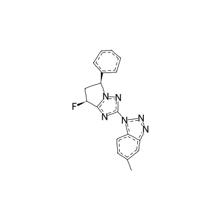 Cc1ccc2c(c1)nnn2-c1nc2n(n1)[C@H](c1ccccc1)C[C@@H]2F